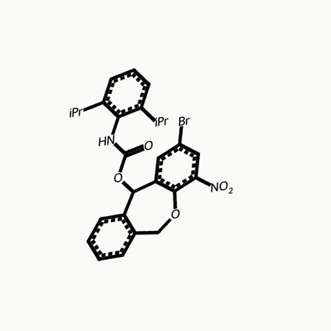 CC(C)c1cccc(C(C)C)c1NC(=O)OC1c2ccccc2COc2c1cc(Br)cc2[N+](=O)[O-]